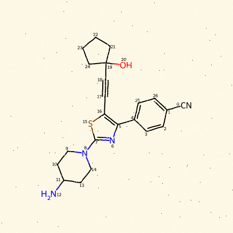 N#Cc1ccc(-c2nc(N3CCC(N)CC3)sc2C#CC2(O)CCCC2)cc1